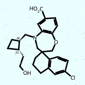 O=C(O)c1ccc2c(c1)N(C[C@@H]1CC[C@H]1CCO)CC1(CCCc3cc(Cl)ccc31)CO2